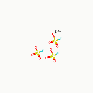 O=S(=O)([O-])F.O=S(=O)([O-])F.O=S(=O)([O-])F.[Er+3]